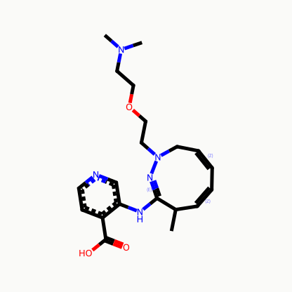 CC1/C=C\C=C/CN(CCOCCN(C)C)/N=C\1Nc1cnccc1C(=O)O